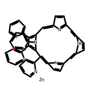 C1=Cc2cc3c(-c4ccccn4)c(-c4ccccn4)c(c(-c4ccccn4)c4nc(cc5ccc(cc1n2)[nH]5)C=C4)n3-c1ccccn1.[Zn]